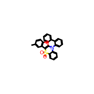 Cc1ccc2oc3c(c2c1)S(=O)(=O)c1ccccc1N3c1ccccc1-c1ccccc1